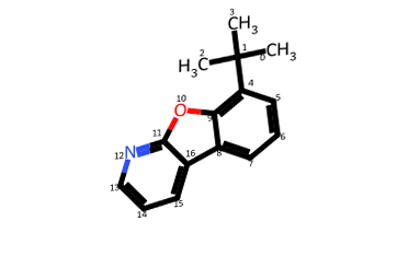 CC(C)(C)c1cccc2c1oc1ncccc12